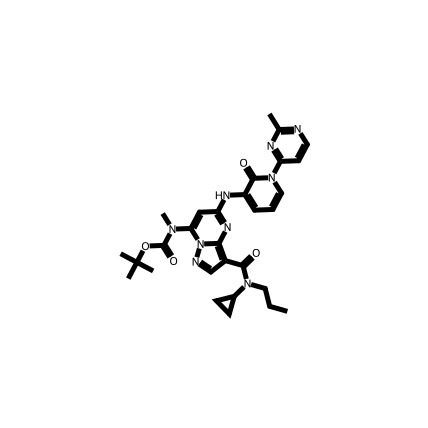 CCCN(C(=O)c1cnn2c(N(C)C(=O)OC(C)(C)C)cc(Nc3cccn(-c4ccnc(C)n4)c3=O)nc12)C1CC1